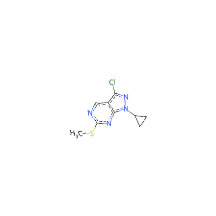 CSc1ncc2c(Cl)nn(C3CC3)c2n1